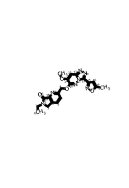 CCN1Cc2ccc(COc3nn4c(-c5cc(C)on5)nnc4cc3OC)nc2C1=O